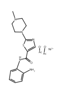 CC(=O)[O-].CC(=O)[O-].CN1CCN(c2ncc(C(=O)Nc3ccccc3N)s2)CC1.[Ni+2]